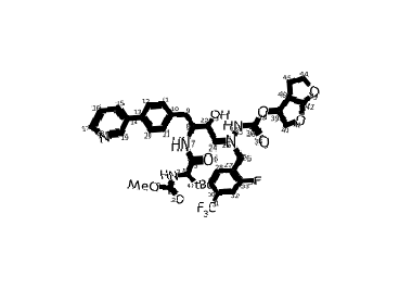 COC(=O)NC(C(=O)NC(Cc1ccc(-c2cccnc2)cc1)C(O)CN(Cc1ccc(C(F)(F)F)cc1F)NC(=O)OC1COC2OCCC12)C(C)(C)C